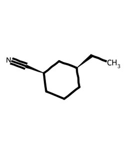 CC[C@H]1CCC[C@@H](C#N)C1